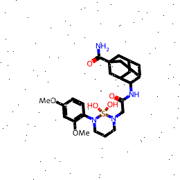 COc1ccc(N2CCCN(CC(=O)NC3C4CC5CC3CC(C(N)=O)(C5)C4)S2(O)O)c(OC)c1